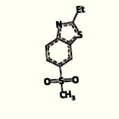 CCc1nc2ccc(S(C)(=O)=O)cc2s1